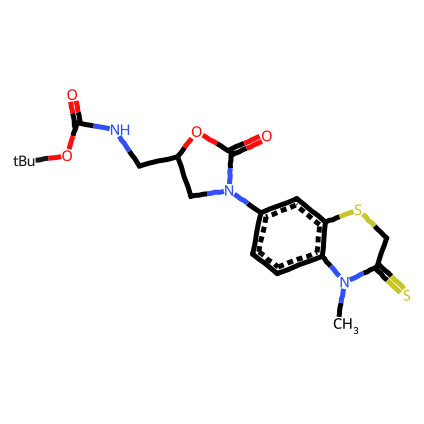 CN1C(=S)CSc2cc(N3CC(CNC(=O)OC(C)(C)C)OC3=O)ccc21